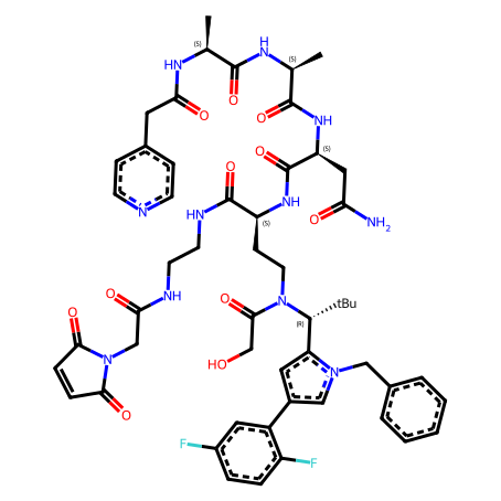 C[C@H](NC(=O)Cc1ccncc1)C(=O)N[C@@H](C)C(=O)N[C@@H](CC(N)=O)C(=O)N[C@@H](CCN(C(=O)CO)[C@@H](c1cc(-c2cc(F)ccc2F)cn1Cc1ccccc1)C(C)(C)C)C(=O)NCCNC(=O)CN1C(=O)C=CC1=O